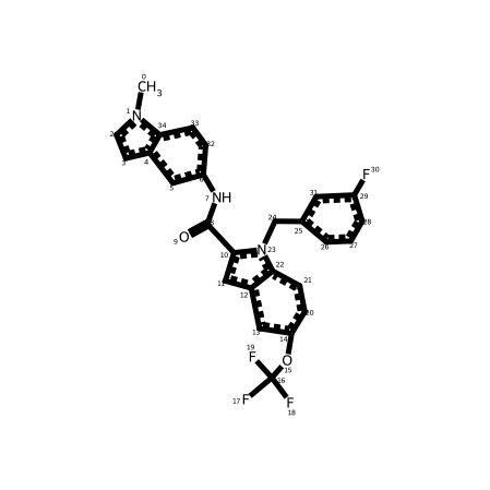 Cn1ccc2cc(NC(=O)c3cc4cc(OC(F)(F)F)ccc4n3Cc3cccc(F)c3)ccc21